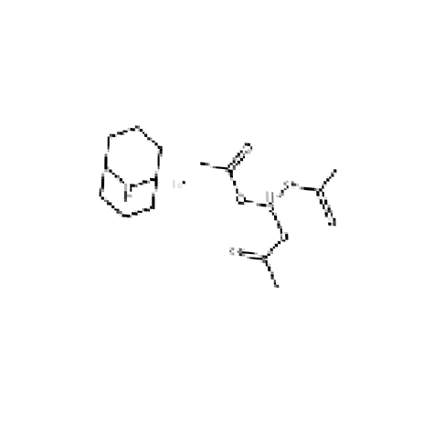 B1C2CCCC1CCC2.CC(=O)O[BH-](OC(C)=O)OC(C)=O.[Li+]